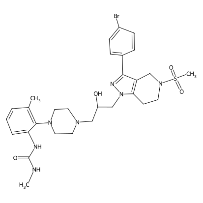 CNC(=O)Nc1cccc(C)c1N1CCN(CC(O)Cn2nc(-c3ccc(Br)cc3)c3c2CCN(S(C)(=O)=O)C3)CC1